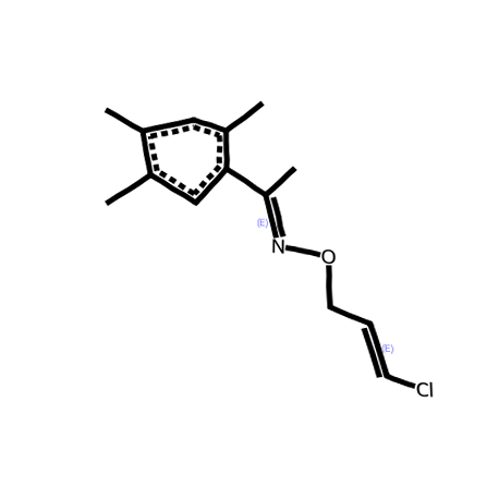 C/C(=N\OC/C=C/Cl)c1cc(C)c(C)cc1C